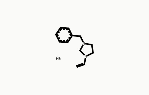 Br.C=CN1CCN(Cc2ccccc2)C1